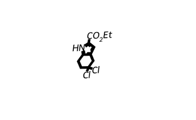 CCOC(=O)c1cc2c([nH]1)CCC(Cl)(Cl)C2